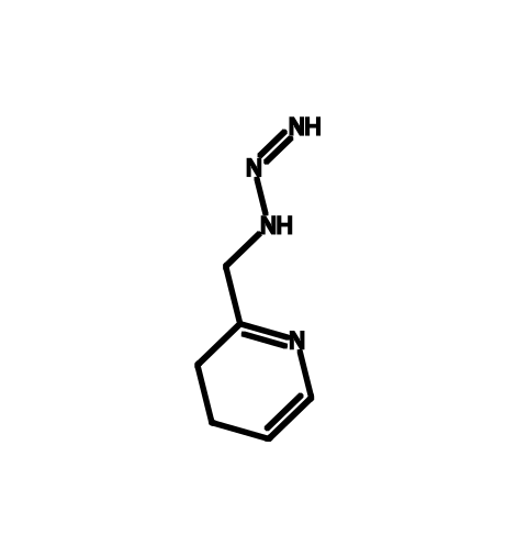 N=NNCC1=NC=CCC1